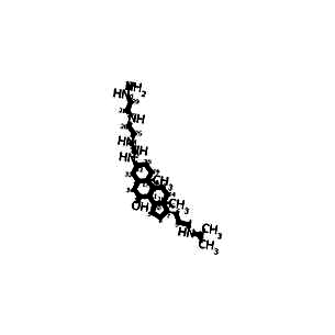 CC(C)NCCC[C@H]1CCC2C3C(CC[C@@]21C)[C@@]1(C)CCC(NNNCCNCCNN)CC1C[C@@H]3O